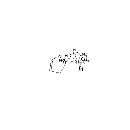 [CH3][Hf]([CH3])([CH3])([CH3])([CH3])([Cl])([Cl])([Cl])[C]1=CC=CC1